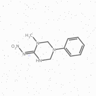 CN1CN(c2ccccc2)CN/C1=N/[N+](=O)[O-]